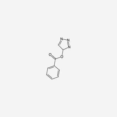 O=C(OC1C=NN=N1)c1ccccc1